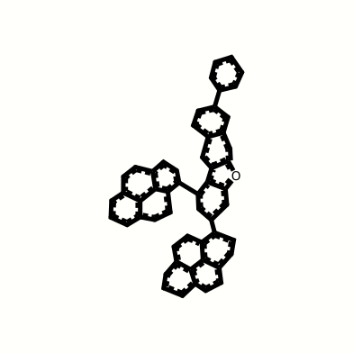 c1ccc(-c2ccc3cc4c(cc3c2)oc2cc(-c3ccc5ccc6cccc7ccc3c5c67)cc(-c3ccc5ccc6cccc7ccc3c5c67)c24)cc1